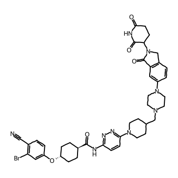 N#Cc1ccc(O[C@H]2CC[C@H](C(=O)Nc3ccc(N4CCC(CN5CCN(c6ccc7c(c6)C(=O)N(C6CCC(=O)NC6=O)C7)CC5)CC4)nn3)CC2)cc1Br